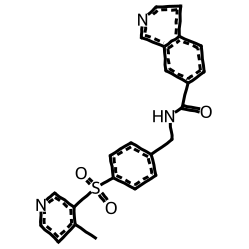 Cc1ccncc1S(=O)(=O)c1ccc(CNC(=O)c2ccc3ccncc3c2)cc1